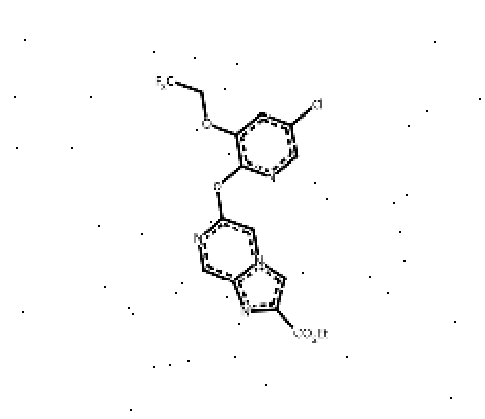 CCOC(=O)c1cn2cc(Oc3ncc(Cl)cc3OCC(F)(F)F)ncc2n1